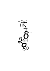 CC(C)(CNC(=O)O)c1cc2cc(NC(=O)C3(c4ccc5c(c4)OCO5)CC3)ccc2[nH]1